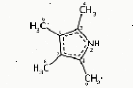 [CH2]c1[nH]c(C)c(C)c1C